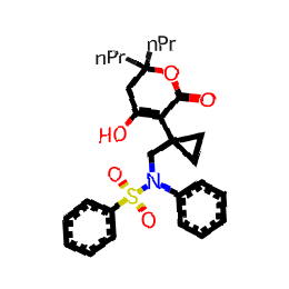 CCCC1(CCC)CC(O)=C(C2(CN(c3ccccc3)S(=O)(=O)c3ccccc3)CC2)C(=O)O1